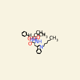 CCCCCCn1cc(C[C@H](NC(=O)OC(C)(C)C)C(=O)NOCc2ccccc2)c2ccccc21